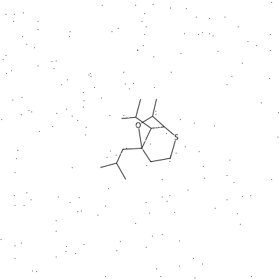 CC(C)CC12CCSC(C(C)O1)C2C(C)C